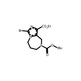 CCOC(=O)c1nc(Br)n2c1CN(C(=O)OC(C)(C)C)CCC2